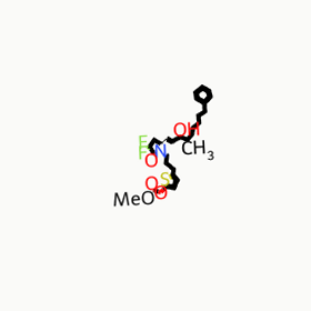 COC(=O)Oc1ccc(CCCN2C(=O)C(F)(F)C[C@@H]2/C=C/[C@@H](O)[C@@H](C)CCCCCc2ccccc2)s1